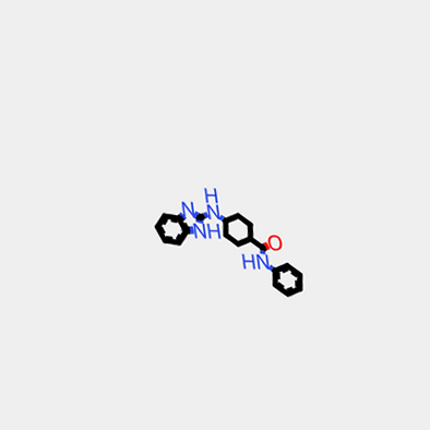 O=C(Nc1ccccc1)C1CCC(Nc2nc3ccccc3[nH]2)CC1